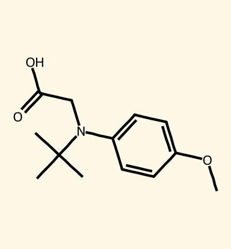 COc1ccc(N(CC(=O)O)C(C)(C)C)cc1